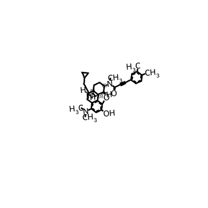 Cc1ccc(C#CC(=O)N(C)[C@@H]2CC[C@H]3[C@H]4Cc5c(N(C)C)cc(O)c6c5[C@@]3(CCN4CC3CC3)[C@H]2O6)cc1C